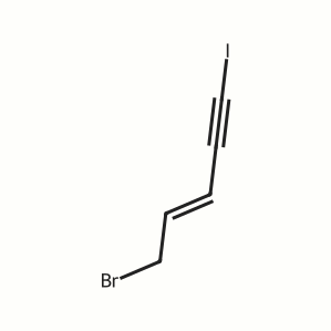 BrC/C=C/C#CI